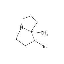 CCC1CCN2CCCC12C